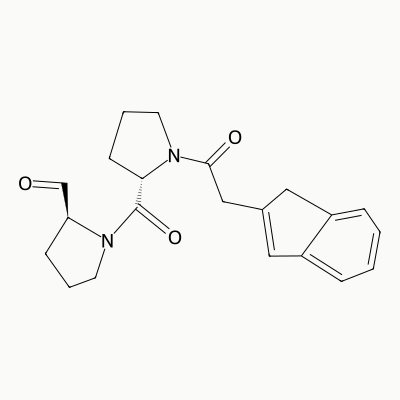 O=C[C@@H]1CCCN1C(=O)[C@@H]1CCCN1C(=O)CC1=Cc2ccccc2C1